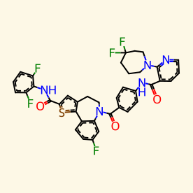 O=C(Nc1c(F)cccc1F)c1cc2c(s1)-c1ccc(F)cc1N(C(=O)c1ccc(NC(=O)c3cccnc3N3CCCC(F)(F)CC3)cc1)CC2